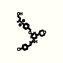 CN(CCO)S(=O)(=O)c1ccc(COc2nc(N/N=C/c3ccc(Cl)cc3)cc(N3CCOCC3)n2)cc1